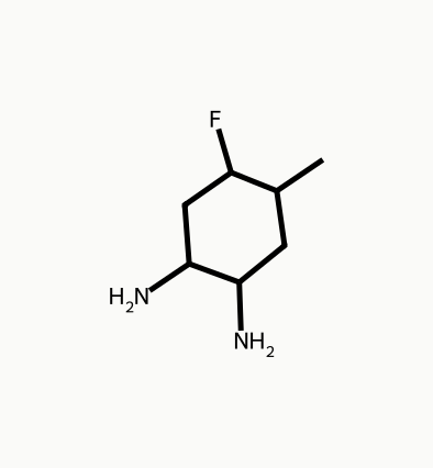 CC1CC(N)C(N)CC1F